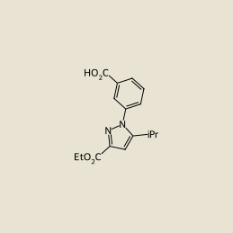 CCOC(=O)c1cc(C(C)C)n(-c2cccc(C(=O)O)c2)n1